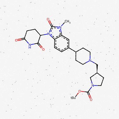 Cn1c(=O)n(C2CCC(=O)NC2=O)c2ccc(C3CCN(C[C@H]4CCN(C(=O)OC(C)(C)C)C4)CC3)cc21